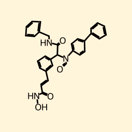 O=CN(c1ccc(-c2ccccc2)cc1)C(C(=O)NCc1ccccc1)c1cccc(C=CC(=O)NO)c1